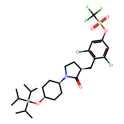 CC(C)[Si](O[C@H]1CC[C@@H](N2CC[C@@H](Cc3c(Cl)cc(OS(=O)(=O)C(F)(F)F)cc3Cl)C2=O)CC1)(C(C)C)C(C)C